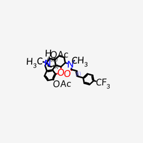 CC(=O)Oc1ccc2c3c1OC1C(N(C)C(=O)/C=C/c4ccc(C(F)(F)F)cc4)CC[C@@]4(OC(C)=O)[C@@H](C2)N(C)CC[C@]314